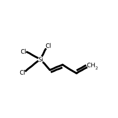 C=CC=C[Si](Cl)(Cl)Cl